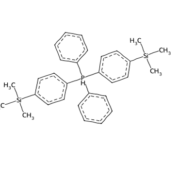 C[Si](C)(C)c1ccc([PH](c2ccccc2)(c2ccccc2)c2ccc([Si](C)(C)C)cc2)cc1